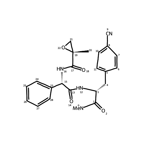 CNC(=O)[C@@H](Cc1ccc(C#N)cc1)NC(=O)[C@@H](NC(=O)[C@@]1(C)CO1)c1ccccc1